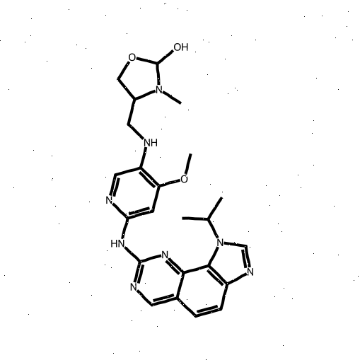 COc1cc(Nc2ncc3ccc4ncn(C(C)C)c4c3n2)ncc1NCC1COC(O)N1C